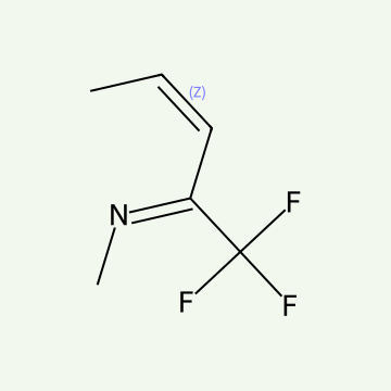 C/C=C\C(=NC)C(F)(F)F